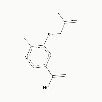 C=C(C)CSc1cc(C(=C)C#N)cnc1C